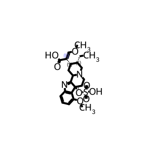 CC[C@@H]1CN2CC[C@@]3(OS(=O)(=O)O)C(=Nc4cccc(OC)c43)C2C[C@@H]1/C(=C\OC)C(=O)O